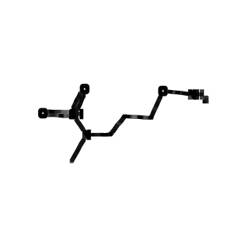 CN(CCCON)[SH](=O)=O